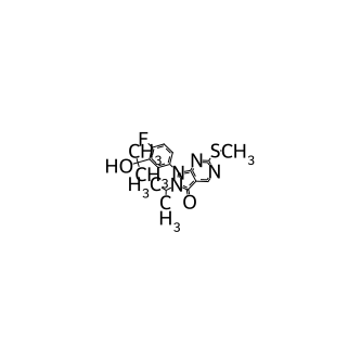 CSc1ncc2c(=O)n(C(C)C)n(-c3ccc(F)c(C(C)(C)O)c3)c2n1